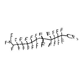 FC(N(F)F)C(F)(F)C(F)(F)C(F)(F)C(F)(F)C(F)(F)C(F)(F)C(F)(F)C(F)(F)C(F)(F)C(F)(F)C(F)(F)F